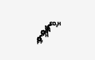 O=C(O)C=Cc1cnc(N[C@@H]2CCCN(CCc3ccc(F)c(F)c3)C2)cn1